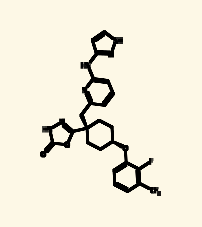 O=c1[nH]nc([C@]2(Cc3cccc(Nc4cc[nH]n4)n3)CC[C@@H](Oc3cccc(C(F)(F)F)c3F)CC2)o1